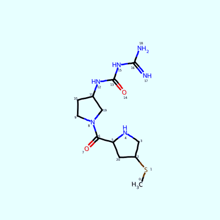 CSC1CNC(C(=O)N2CCC(NC(=O)NC(=N)N)C2)C1